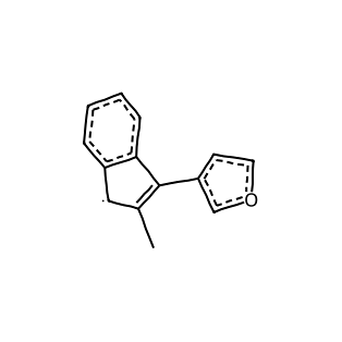 CC1=C(c2ccoc2)c2ccccc2[CH]1